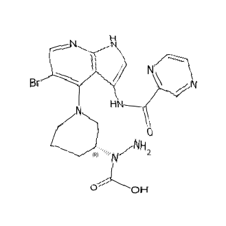 NN(C(=O)O)[C@@H]1CCCN(c2c(Br)cnc3[nH]cc(NC(=O)c4cnccn4)c23)C1